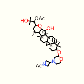 CC(=O)O[C@@H](C1C[C@@H](C)C2C(O1)[C@H](O)[C@@]1(C)[C@@H]3CC[C@H]4C(C)(C)[C@@H](OC5CN(C6CN(C(C)=O)C6)CCO5)CC[C@@]45CC35CC[C@]21C)C(C)(C)O